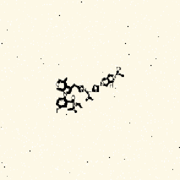 CCN(C(=O)c1cc(F)ccc1-n1cc(CC2CN(C(C(C)C)[C@H]3C[C@@H](N4CC5CN(C(C)=O)C[C@@H]5C4)C3)C2)c2c(C)cncc21)C(C)C